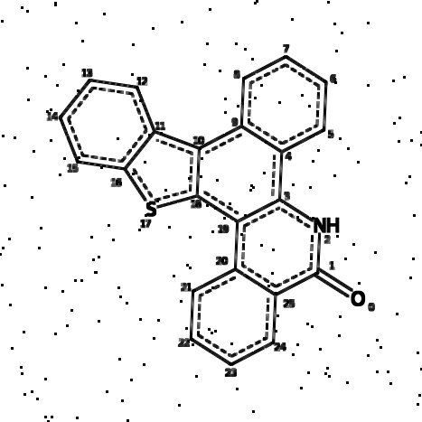 O=c1[nH]c2c3ccccc3c3c4ccccc4sc3c2c2ccccc12